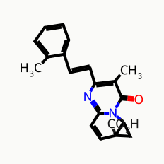 Cc1ccccc1/C=C/c1nc2n(c(=O)c1C)C1CC1(C(=O)O)C=C2